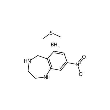 B.CSC.O=[N+]([O-])c1ccc2c(c1)NCCNC2